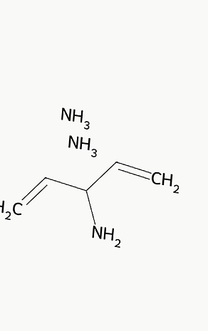 C=CC(N)C=C.N.N